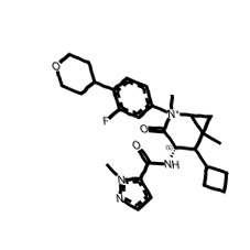 Cn1nccc1C(=O)N[C@@H]1C(=O)[N+](C)(c2ccc(C3CCOCC3)c(F)c2)C2CC2(C)C1C1CCC1